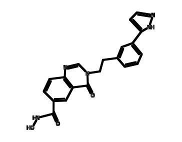 O=C(NO)c1ccc2ncn(CCc3cccc(-c4ccn[nH]4)c3)c(=O)c2c1